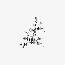 CCC(NC(=N)N)C(NC(=N)N)OC(=O)[C@@H](N)CC(C)C